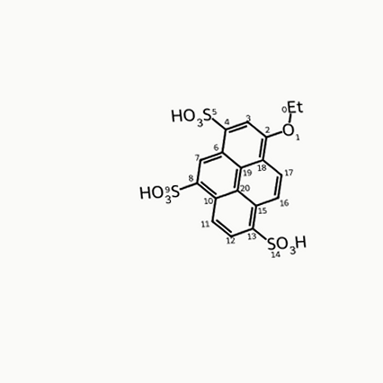 CCOc1cc(S(=O)(=O)O)c2cc(S(=O)(=O)O)c3ccc(S(=O)(=O)O)c4ccc1c2c43